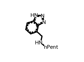 CCCCCNCc1cccc2[nH]nnc12